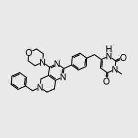 Cn1c(=O)cc(Cc2ccc(-c3nc4c(c(N5CCOCC5)n3)CN(Cc3ccccc3)CC4)cc2)[nH]c1=O